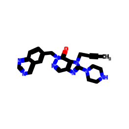 CC#CCn1c(N2CCNCC2)nc2cnn(Cc3ccc4ncncc4c3)c(=O)c21